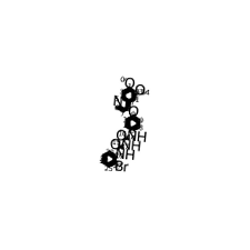 COc1cc2nccc(Oc3ccc(NC(=O)NC(=O)Nc4ccccc4Br)cc3)c2cc1OC